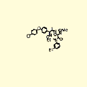 CCO/N=C(/C(C)=NOC(=NOC)C(=O)N(C)c1cccc(CC)c1)c1ccc(Oc2ccc(Cl)cc2)cc1